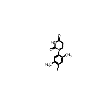 Cc1cc(N2CCC(=O)NC2=O)c(C)cc1F